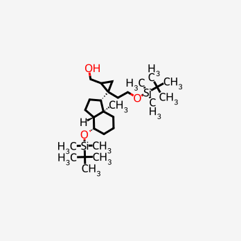 CC(C)(C)[Si](C)(C)OCCC1([C@H]2CC[C@H]3[C@@H](O[Si](C)(C)C(C)(C)C)CCC[C@]23C)CC1CO